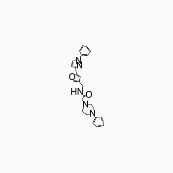 O=C(CN1CCN(c2ccccc2)CC1)NCc1coc(-c2ccn(-c3ccccc3)n2)c1